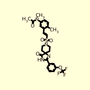 CC(=O)N(C)c1ccc(C)c(C=CS(=O)(=O)N2CCC3(CC2)N=C(c2cccc(OC(F)(F)F)c2)NC3=O)c1